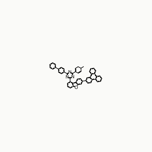 CC1C=CC(c2nc(-c3ccc(-c4ccccc4)cc3)nc(-c3cccc4oc5cc(-c6ccc7c8ccccc8c8ccccc8c7c6)ccc5c34)n2)=CC1